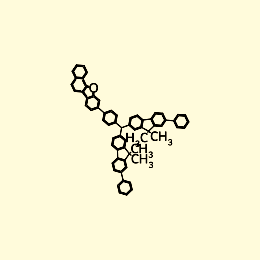 CC1(C)c2cc(-c3ccccc3)ccc2-c2ccc(C(c3ccc(-c4ccc5c(c4)oc4c6ccccc6ccc54)cc3)c3ccc4c(c3)C(C)(C)c3cc(-c5ccccc5)ccc3-4)cc21